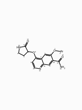 CC(C)Oc1cc2c(OC3CCNC3=O)ccnc2cc1C(N)=O